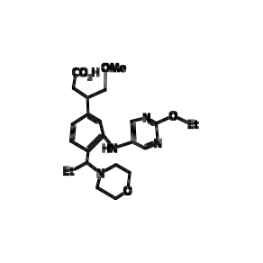 CCOc1ncc(Nc2cc(C(COC)CC(=O)O)ccc2C(CC)N2CCOCC2)cn1